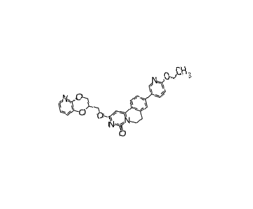 CCOc1ccc(-c2ccc3c(c2)CCn2c-3cc(OCC3COc4ncccc4O3)nc2=O)cn1